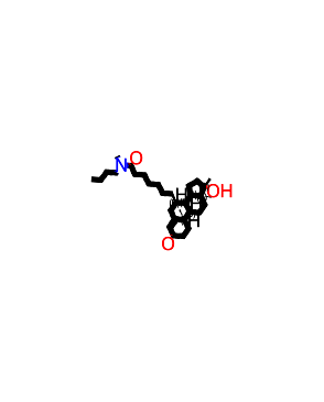 CCCCN(C)C(=O)CCCCCC[C@@H]1CC2=CC(=O)CC[C@]2(C)[C@H]2CC[C@@]3(C)[C@@H](CC[C@]3(C)O)[C@H]12